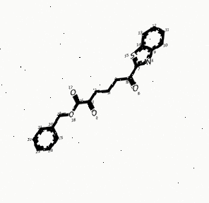 O=C(CCCC(=O)c1nc2ccccc2s1)C(=O)OCc1ccccc1